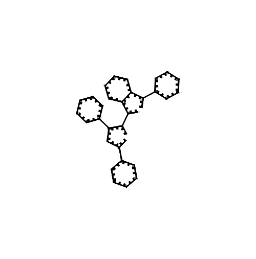 c1ccc(-c2cc(-c3ccccc3)c(-c3oc(-c4ccccc4)c4ccccc34)s2)cc1